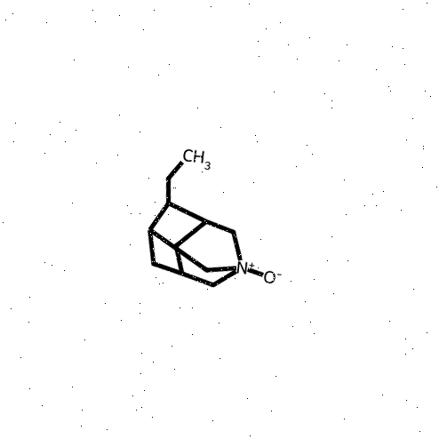 CCC1C2CC3CC1C[N+]([O-])(C3)C2